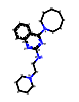 c1ccc2c(N3CCCCCCC3)nc(NCCN3CCCCC3)nc2c1